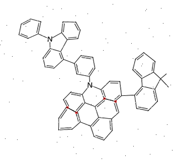 CC1(C)c2ccccc2-c2c(-c3ccc(N(c4cccc(-c5cccc6c5c5ccccc5n6-c5ccccc5)c4)c4ccccc4-c4cccc5cccc(-c6ccccc6)c45)cc3)cccc21